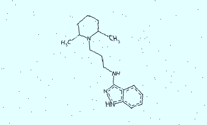 CC1CCCC(C)N1CCCNc1n[nH]c2ccccc12